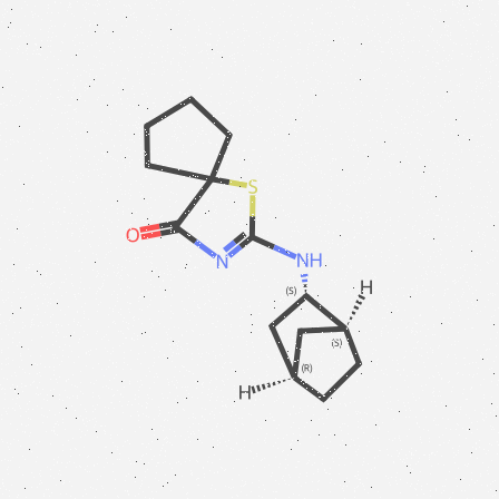 O=C1N=C(N[C@H]2C[C@@H]3CC[C@H]2C3)SC12CCCC2